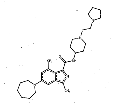 Cn1nc(C(=O)NC2CCN(CCN3CCCC3)CC2)c2c(C(F)(F)F)cc(N3CCCCCC3)cc21